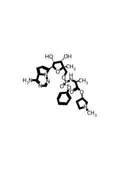 C[C@H](NP(=O)(OC[C@@]1(C)O[C@@H](c2ccc3c(N)ncnn23)[C@H](O)[C@@H]1O)Oc1ccccc1)C(=O)O[C@@H]1CCN(C)C1